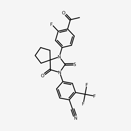 CC(=O)c1ccc(N2C(=S)N(c3ccc(C#N)c(C(F)(F)F)c3)C(=O)C23CCCC3)cc1F